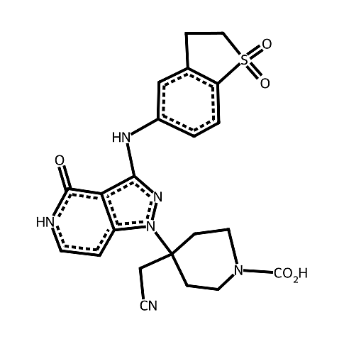 N#CCC1(n2nc(Nc3ccc4c(c3)CCS4(=O)=O)c3c(=O)[nH]ccc32)CCN(C(=O)O)CC1